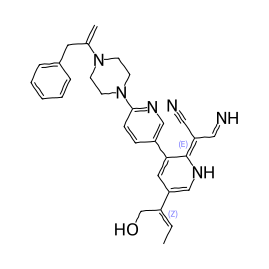 C=C(Cc1ccccc1)N1CCN(c2ccc(C3=CC(/C(=C/C)CO)=CN/C3=C(/C#N)C=N)cn2)CC1